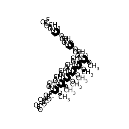 COc1cc[n+](OC)cc1.COc1cc[n+](OC)cc1.COc1cc[n+](OC)cc1.COc1cc[n+](OC)cc1.COc1cc[n+](OC)cc1.COc1cc[n+](OC)cc1.COc1cc[n+](OC)cc1.COc1cc[n+](OC)cc1.[O-]B([O-])F.[O-]B([O-])F.[O-]B([O-])F.[O-]B([O-])F